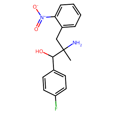 CC(N)(Cc1ccccc1[N+](=O)[O-])C(O)c1ccc(F)cc1